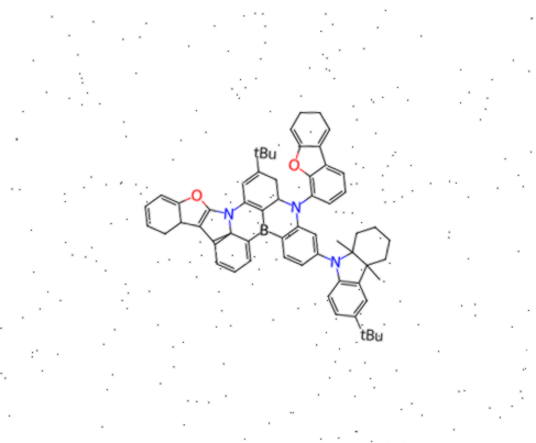 CC(C)(C)C1=CC2=C3B(C4=CC=CC5C6C7=C(OC8=CC=CCC87)N2C456)c2ccc(N4c5ccc(C(C)(C)C)cc5C5(C)CCCCC45C)cc2N(c2cccc4c5c(oc24)=CCCC=5)C3C1